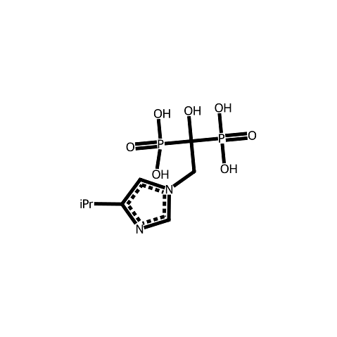 CC(C)c1cn(CC(O)(P(=O)(O)O)P(=O)(O)O)cn1